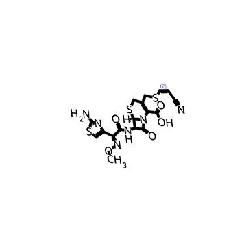 CON=C(C(=O)NC1C(=O)N2C(C(=O)O)=C(CS/C=C\C#N)CS[C@@H]12)c1csc(N)n1